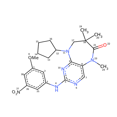 COc1cc(Nc2ncc3c(n2)N(C2CCCC2)CC(C)(C)C(=O)N3C)cc([N+](=O)[O-])c1